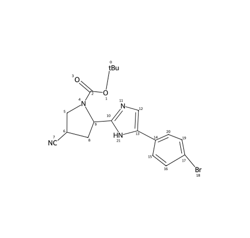 CC(C)(C)OC(=O)N1CC(C#N)CC1c1ncc(-c2ccc(Br)cc2)[nH]1